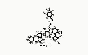 Cc1cc(OCCCc2c3n(c4c(-c5c(C)nn(C)c5C)c(Cl)ccc24)[C@H](C)CN(c2cccc4c2cc(C(=O)O)n4Cc2ccccn2)C3=O)cc(C)c1Cl